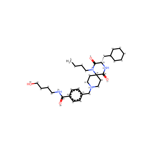 CCCCN1C(=O)[C@H](CC2CCCCC2)NC(=O)C12CCN(Cc1ccc(C(=O)NCCCCO)cc1)CC2